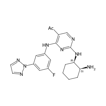 CC(=O)c1cnc(N[C@@H]2CCCC[C@@H]2N)nc1Nc1cc(F)cc(-n2nccn2)c1